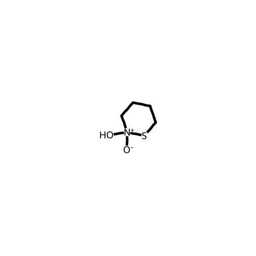 [O-][N+]1(O)CCCCS1